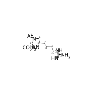 CC(=O)N(CC(=O)O)C[C@@H](N)CCCCNC(=N)N